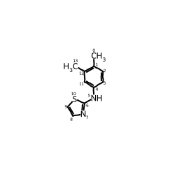 Cc1ccc(Nc2nccs2)cc1C